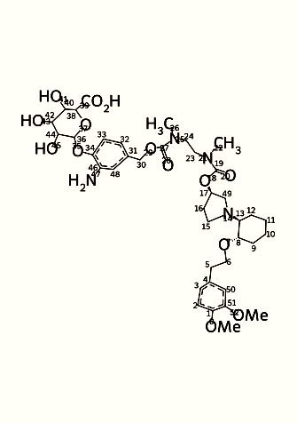 COc1ccc(CCO[C@H]2CCCC[C@@H]2N2CC[C@@H](OC(=O)N(C)CCN(C)C(=O)OCc3ccc(OC4OC(C(=O)O)C(O)C(O)C4O)c(N)c3)C2)cc1OC